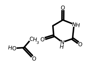 CC(=O)O.O=C1CC(=O)NC(=O)N1